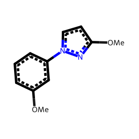 COc1cccc(-n2ccc(OC)n2)c1